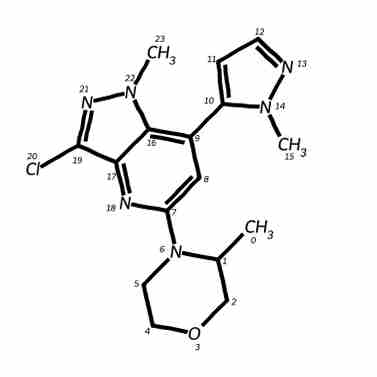 CC1COCCN1c1cc(-c2ccnn2C)c2c(n1)c(Cl)nn2C